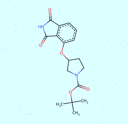 CC(C)(C)OC(=O)N1CCC(Oc2cccc3c2C(=O)NC3=O)C1